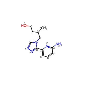 CC(CCO)Cn1cnnc1-c1cccc(N)n1